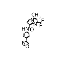 Cc1cc(C(F)F)nc2c(C(=O)Nc3ccc(-c4cocn4)cc3)ccn12